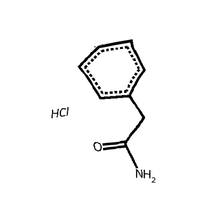 Cl.NC(=O)Cc1cc[c]cc1